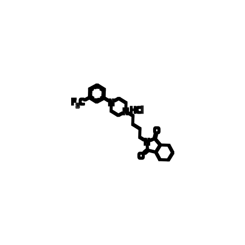 Cl.O=C1C2CCCCC2C(=O)N1CCCCN1CCN(c2cccc(C(F)(F)F)c2)CC1